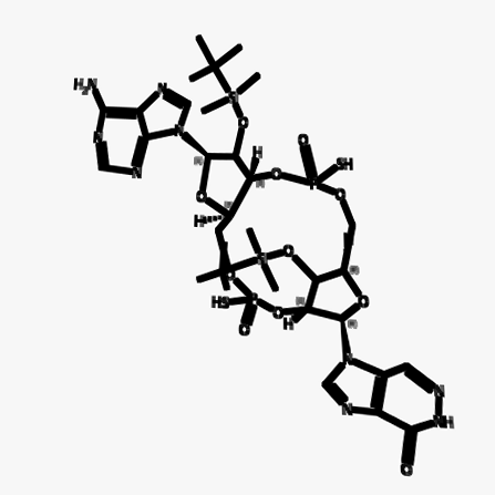 CC(C)(C)[Si](C)(C)OC1[C@H]2OP(=O)(S)OC[C@H]3O[C@@H](n4cnc5c(N)ncnc54)C(O[Si](C)(C)C(C)(C)C)[C@@H]3OP(=O)(S)OC[C@H]1O[C@H]2n1cnc2c(=O)[nH]ncc21